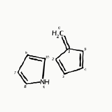 C=C1C=CC=C1.c1cc[nH]c1